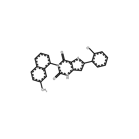 Cc1ccc2cccc(-n3c(=O)[nH]c4cc(-c5ccccc5Cl)sc4c3=O)c2c1